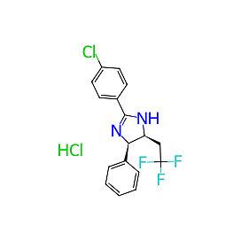 Cl.FC(F)(F)C[C@@H]1NC(c2ccc(Cl)cc2)=N[C@@H]1c1ccccc1